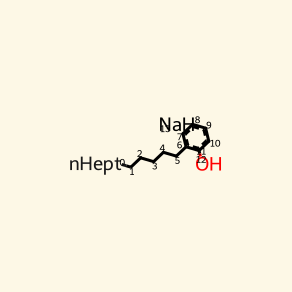 CCCCCCCCCCCCc1ccccc1O.[NaH]